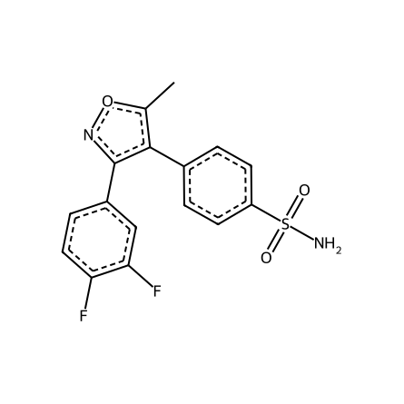 Cc1onc(-c2ccc(F)c(F)c2)c1-c1ccc(S(N)(=O)=O)cc1